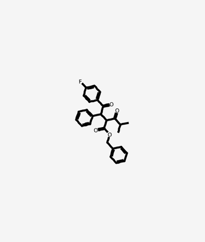 CC(C)C(=O)C(C(=O)OCc1ccccc1)C(C(=O)c1ccc(F)cc1)c1ccccc1